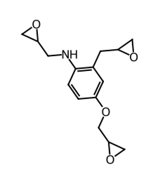 c1cc(NCC2CO2)c(CC2CO2)cc1OCC1CO1